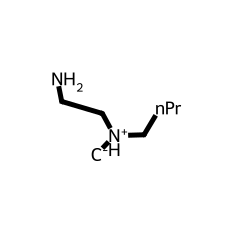 [CH2-][NH+](CCN)CCCC